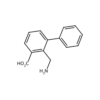 NCc1c(C(=O)O)cccc1-c1ccccc1